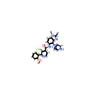 COc1cccc(F)c1-c1nccc(C(=O)Nc2ccc3c(nc(C)n3C)c2N2CC3CC2CN3)c1F